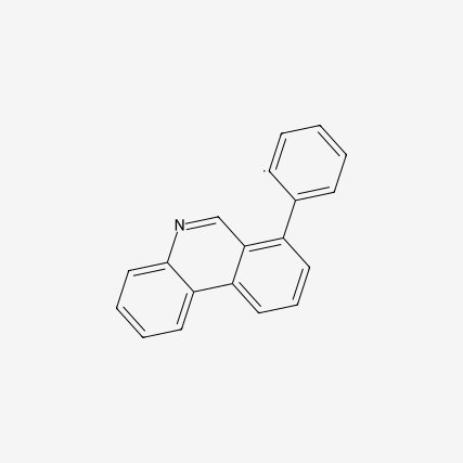 [c]1ccccc1-c1cccc2c1cnc1ccccc12